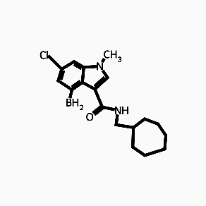 Bc1cc(Cl)cc2c1c(C(=O)NCC1CCCCCC1)cn2C